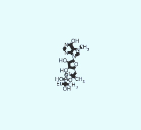 CCC(C)(C[C@H]1O[C@@H](n2c[n+](C)c3c(O)ncnc32)[C@H](O)[C@@H]1O)OP(=O)(O)C(C)(O)CC